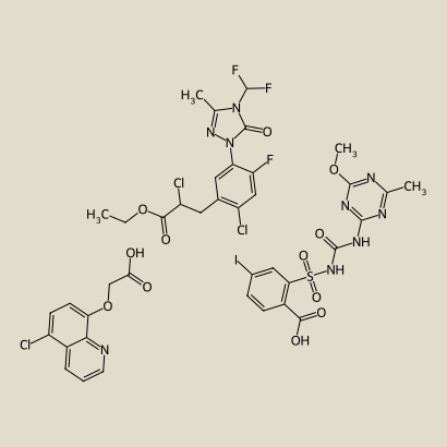 CCOC(=O)C(Cl)Cc1cc(-n2nc(C)n(C(F)F)c2=O)c(F)cc1Cl.COc1nc(C)nc(NC(=O)NS(=O)(=O)c2cc(I)ccc2C(=O)O)n1.O=C(O)COc1ccc(Cl)c2cccnc12